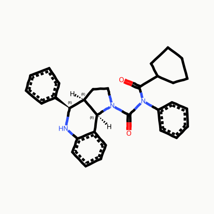 O=C(C1CCCCC1)N(C(=O)N1CC[C@@H]2[C@H](c3ccccc3)Nc3ccccc3[C@@H]21)c1ccccc1